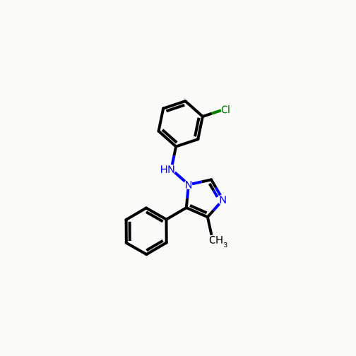 Cc1ncn(Nc2cccc(Cl)c2)c1-c1ccccc1